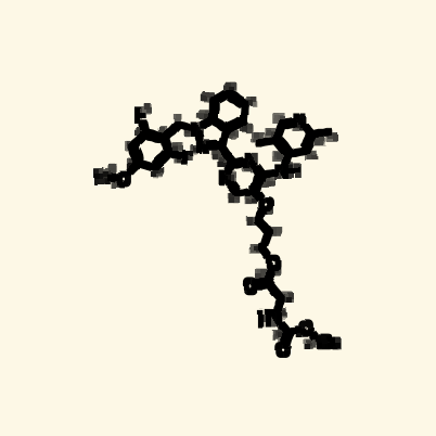 CCOc1cc(F)c(Cn2nc(-c3ncc(OCCCOC(=O)CNC(=O)OC(C)(C)C)c(Nc4cc(C)ncc4C)n3)c3ccccc32)c(F)c1